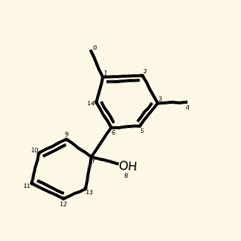 Cc1cc(C)cc(C2(O)C=CC=CC2)c1